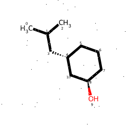 CC(C)C[C@@H]1CCC[C@@H](O)C1